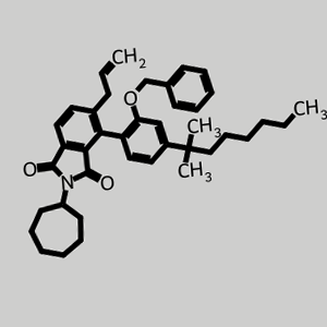 C=CCc1ccc2c(c1-c1ccc(C(C)(C)CCCCCC)cc1OCc1ccccc1)C(=O)N(C1CCCCCC1)C2=O